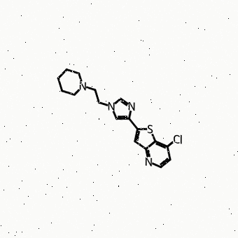 Clc1ccnc2cc(-c3cn(CCN4CCCCC4)cn3)sc12